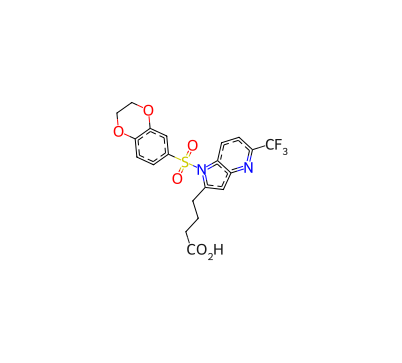 O=C(O)CCCc1cc2nc(C(F)(F)F)ccc2n1S(=O)(=O)c1ccc2c(c1)OCCO2